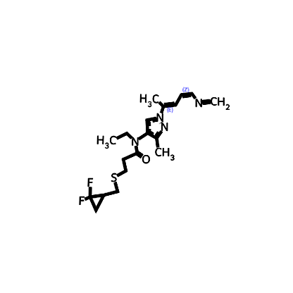 C=N/C=C\C=C(/C)n1cc(N(CC)C(=O)CCSCC2CC2(F)F)c(C)n1